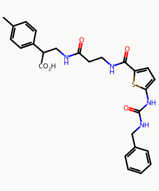 Cc1ccc(C(CNC(=O)CCNC(=O)c2ccc(NC(=O)NCc3ccccc3)s2)C(=O)O)cc1